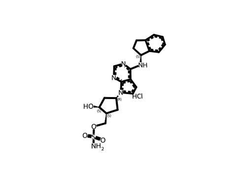 Cl.NS(=O)(=O)OC[C@@H]1C[C@@H](n2ccc3c(N[C@H]4CCc5ccccc54)ncnc32)C[C@@H]1O